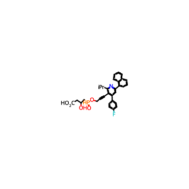 CC(C)c1nc(-c2cccc3ccccc23)cc(-c2ccc(F)cc2)c1C#CCO[PH](=O)CC(O)CC(=O)O